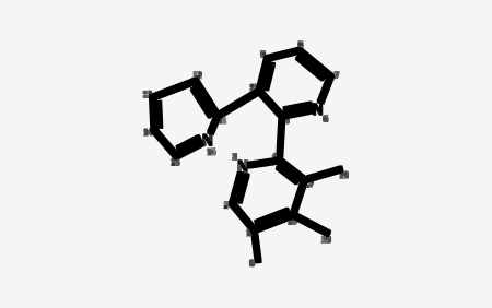 Cc1cnc(-c2ncccc2-c2ccccn2)c(C)c1C